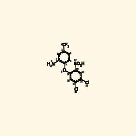 Nc1cc(C(F)(F)F)ccc1Oc1cc(Cl)c(Cl)cc1S(=O)(=O)O